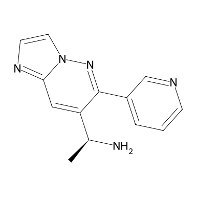 C[C@H](N)c1cc2nccn2nc1-c1cccnc1